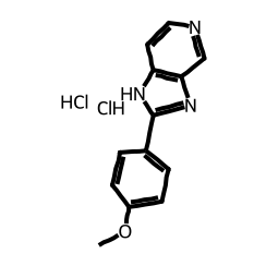 COc1ccc(-c2nc3cnccc3[nH]2)cc1.Cl.Cl